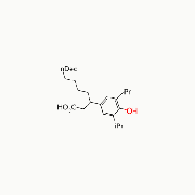 CCCCCCCCCCCCCCC(CC(=O)O)c1cc(C(C)C)c(O)c(C(C)C)c1